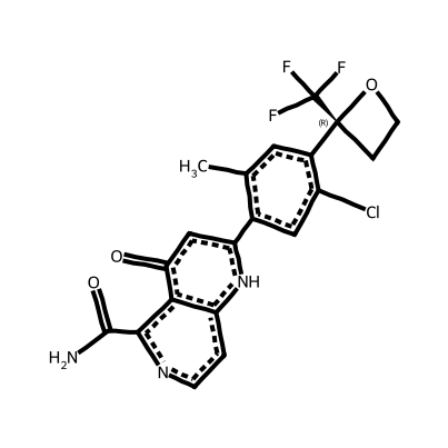 Cc1cc([C@@]2(C(F)(F)F)CCO2)c(Cl)cc1-c1cc(=O)c2c(C(N)=O)nccc2[nH]1